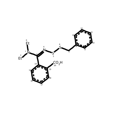 CCN(CC)/C(=N/SSCc1ccccc1)c1ccccc1C(=O)O